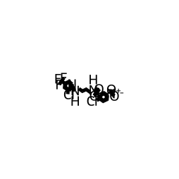 O=[N+]([O-])c1ccc(Cl)c(S(=O)(=O)NCCCCNc2ncc(C(F)(F)F)cc2Cl)c1